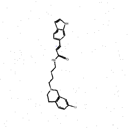 O=C(/C=C/c1ccc2cc[nH]c2c1)NCCCCN1CCc2ccc(Cl)cc2C1